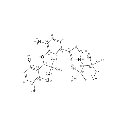 [2H]C([2H])([2H])C(Oc1cc(-c2cnn(C3C([2H])([2H])CNCC3([2H])[2H])c2)cnc1N)c1c(Cl)ccc(F)c1Cl